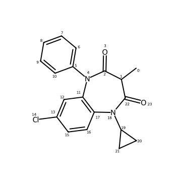 CC1C(=O)N(c2ccccc2)c2cc(Cl)ccc2N(C2CC2)C1=O